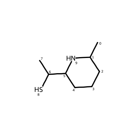 CC1CCCC(C(C)S)N1